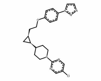 Clc1cnc(N2CCC([C@H]3C[C@H]3CCOc3ccc(-n4ccnn4)cc3)CC2)nc1